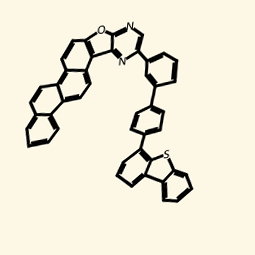 c1cc(-c2ccc(-c3cccc4c3sc3ccccc34)cc2)cc(-c2cnc3oc4ccc5c6ccc7ccccc7c6ccc5c4c3n2)c1